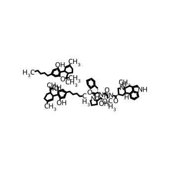 C=C(C)C1CCC(C)=CC1c1c(O)cc(CCCCC)cc1O.CCCCCc1cc(O)c2c(c1)OC(C)(C)C1CCC(C)=CC21.CN1C[C@H](C(=O)N[C@]2(C)O[C@@]3(O)[C@@H]4CCCN4C(=O)[C@H](Cc4ccccc4)N3C2=O)C[C@@H]2c3cccc4[nH]cc(c34)C[C@H]21